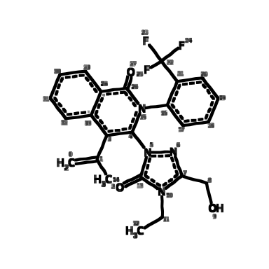 C=C(C)c1c(-n2nc(CO)n(CC)c2=O)n(-c2ccccc2C(F)(F)F)c(=O)c2ccccc12